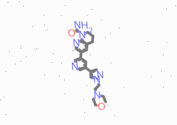 NC(=O)N1CCCc2cc(-c3cncc(-c4cnn(CCN5CCOCC5)c4)c3)cnc21